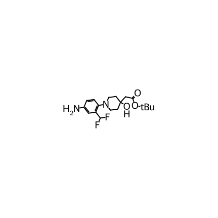 CC(C)(C)OC(=O)CC1(O)CCN(c2ccc(N)cc2C(F)F)CC1